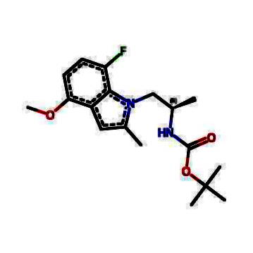 COc1ccc(F)c2c1cc(C)n2C[C@@H](C)NC(=O)OC(C)(C)C